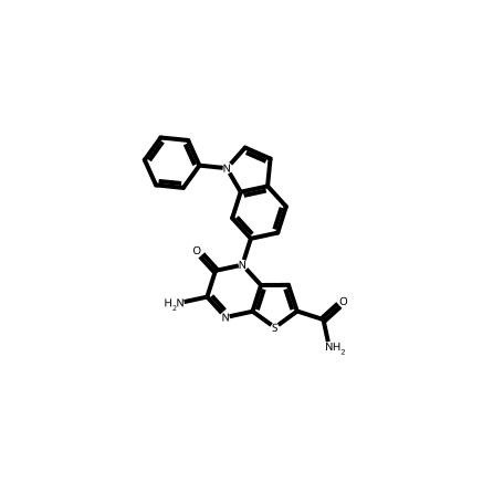 NC(=O)c1cc2c(nc(N)c(=O)n2-c2ccc3ccn(-c4ccccc4)c3c2)s1